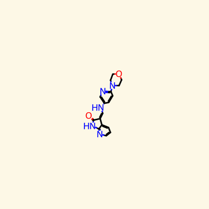 O=C1Nc2ncccc2/C1=C/Nc1ccc(N2CCOCC2)nc1